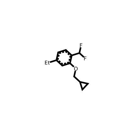 CCc1ccc(C(F)F)c(OCC2CC2)c1